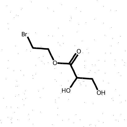 O=C(OCCBr)C(O)CO